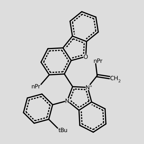 C=C(CCC)[n+]1c(-c2c(CCC)ccc3c2oc2ccccc23)n(-c2ccccc2C(C)(C)C)c2ccccc21